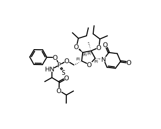 CCC(C)O[C@@H]1[C@@H](COP(=S)(NC(C)C(=O)OC(C)C)Oc2ccccc2)O[C@@H](N2C=CC(=O)CC2=O)[C@]1(C)OC(C)CC